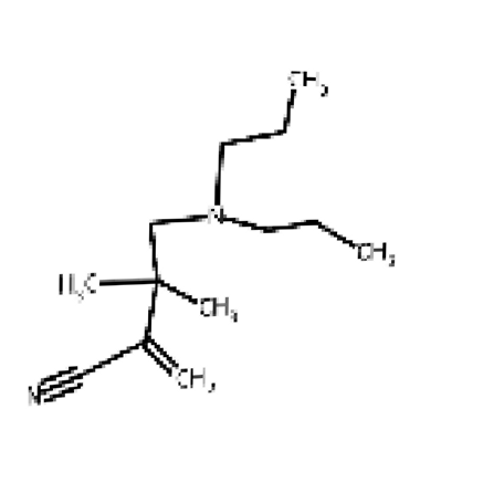 C=C(C#N)C(C)(C)CN(CCC)CCC